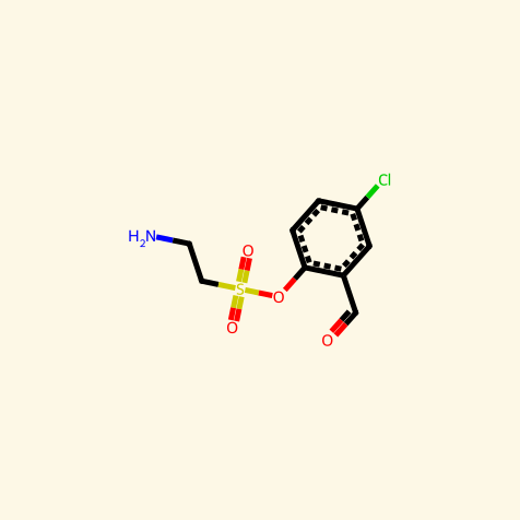 NCCS(=O)(=O)Oc1ccc(Cl)cc1C=O